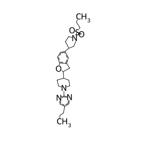 CCCc1cnc(N2CCC(C3Cc4cc(C5CCN(S(=O)(=O)CCC)CC5)ccc4O3)CC2)nc1